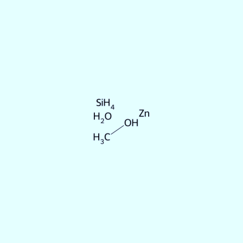 CO.O.[SiH4].[Zn]